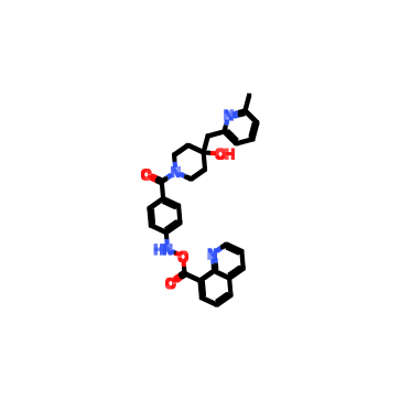 Cc1cccc(CC2(O)CCN(C(=O)c3ccc(NOC(=O)c4cccc5cccnc45)cc3)CC2)n1